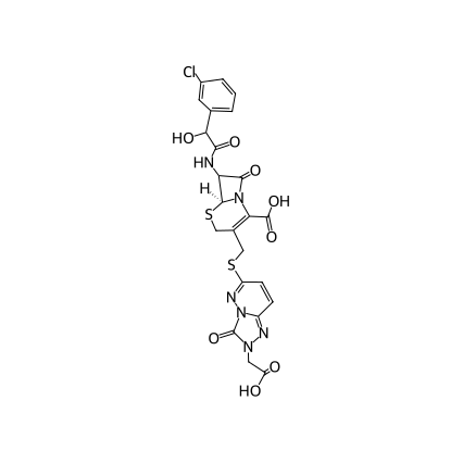 O=C(O)Cn1nc2ccc(SCC3=C(C(=O)O)N4C(=O)C(NC(=O)C(O)c5cccc(Cl)c5)[C@@H]4SC3)nn2c1=O